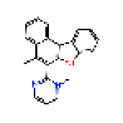 Cc1c(-c2nccc[n+]2C)c2oc3ccccc3c2c2ccccc12